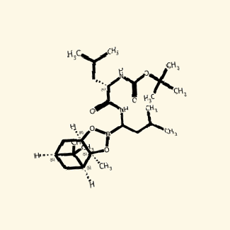 CC(C)CC(NC(=O)[C@H](CC(C)C)NC(=O)OC(C)(C)C)B1O[C@@H]2C[C@@H]3C[C@@H](C3(C)C)[C@]2(C)O1